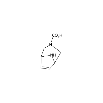 O=C(O)N1CC2C=CC(C1)N2